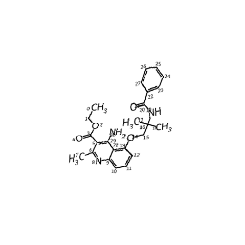 CCOC(=O)c1c(C)nc2cccc(OCC(C)(C)NC(=O)c3ccccc3)c2c1N